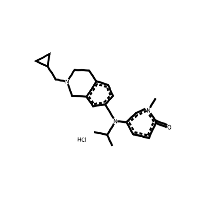 CC(C)N(c1ccc2c(c1)CN(CC1CC1)CC2)c1ccc(=O)n(C)c1.Cl